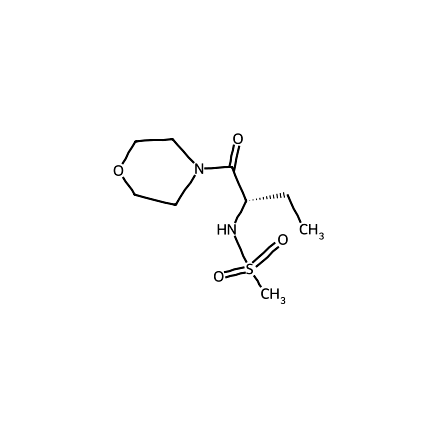 CC[C@H](NS(C)(=O)=O)C(=O)N1CCOCC1